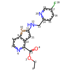 CCOC(=O)c1nccc2sc(NCc3ccc(F)cn3)cc12